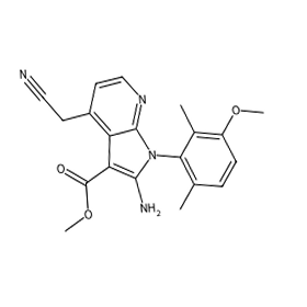 COC(=O)c1c(N)n(-c2c(C)ccc(OC)c2C)c2nccc(CC#N)c12